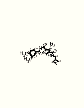 Cc1ccc(-c2nn3cc(C(=O)NCC4CSC4)c(C)c3c(=O)[nH]2)cc1C